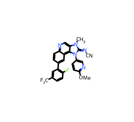 COc1ccc(-n2/c(=N\C#N)n(C)c3cnc4ccc(-c5cc(C(F)(F)F)ccc5F)cc4c32)cn1